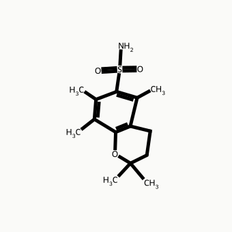 Cc1c(C)c(S(N)(=O)=O)c(C)c2c1OC(C)(C)CC2